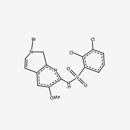 COc1cc2c(nc1NS(=O)(=O)c1cccc(Cl)c1Cl)CN(Br)C=C2